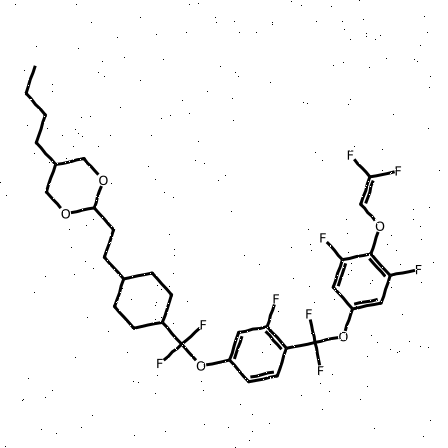 CCCCC1COC(CCC2CCC(C(F)(F)Oc3ccc(C(F)(F)Oc4cc(F)c(OC=C(F)F)c(F)c4)c(F)c3)CC2)OC1